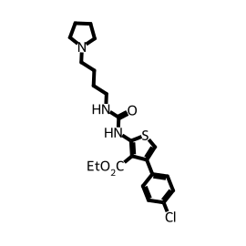 CCOC(=O)c1c(-c2ccc(Cl)cc2)csc1NC(=O)NCCCCN1CCCC1